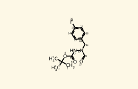 CC(C)(C)OC(=O)NN(C=O)Cc1ccc(F)cc1